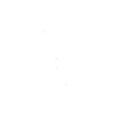 CCNC(=O)c1c(C)sc2nc(Cc3cccc(NS(C)(=O)=O)c3)cc(=O)n12